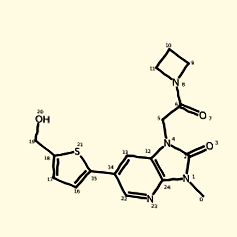 Cn1c(=O)n(CC(=O)N2CCC2)c2cc(-c3ccc(CO)s3)cnc21